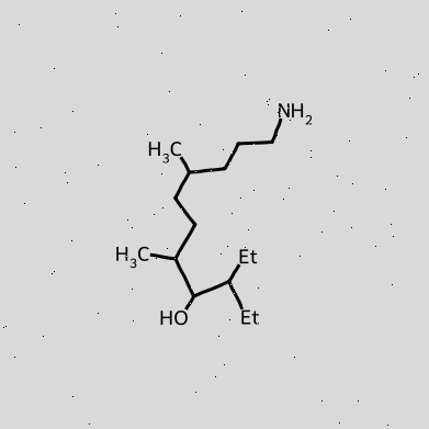 CCC(CC)C(O)C(C)CCC(C)CCCN